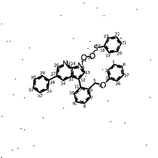 c1ccc(OCc2ccccc2-c2cn(OOSc3ccccc3)c3ncc(-c4ccccc4)cc23)cc1